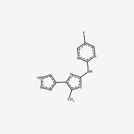 Cc1sc(Nc2ncc(F)cn2)nc1-c1cn[nH]c1